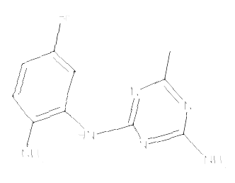 Cc1nc(N)nc(Nc2cc(Br)ccc2N)n1